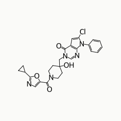 O=C(c1cnc(C2CC2)o1)N1CCC(O)(Cn2cnc3c(cc(Cl)n3-c3ccccc3)c2=O)CC1